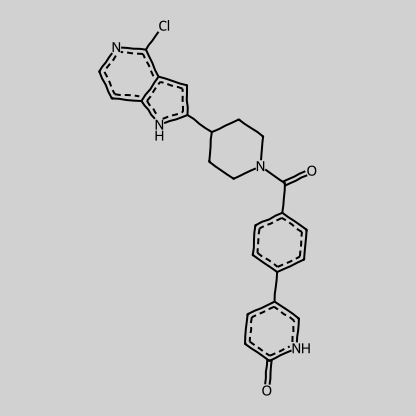 O=C(c1ccc(-c2ccc(=O)[nH]c2)cc1)N1CCC(c2cc3c(Cl)nccc3[nH]2)CC1